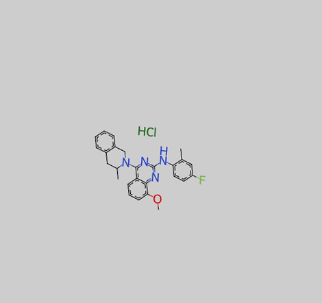 COc1cccc2c(N3Cc4ccccc4CC3C)nc(Nc3ccc(F)cc3C)nc12.Cl